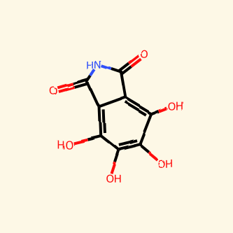 O=C1NC(=O)c2c(O)c(O)c(O)c(O)c21